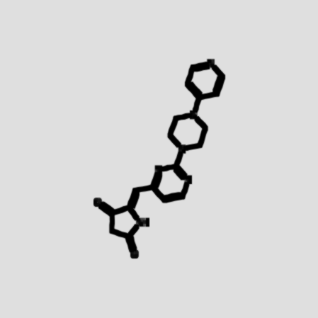 O=C1CC(=O)/C(=C/c2ccnc(N3CCN(c4ccncc4)CC3)n2)N1